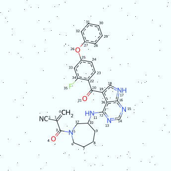 C=C(C#N)C(=O)N1CCCCC(Nc2ncnc3[nH]cc(C(=O)c4ccc(Oc5ccccc5)cc4F)c23)C1